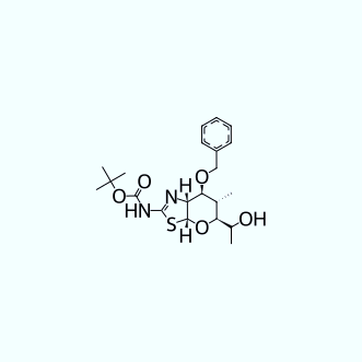 CC(O)[C@H]1O[C@@H]2SC(NC(=O)OC(C)(C)C)=N[C@@H]2[C@@H](OCc2ccccc2)[C@@H]1C